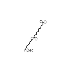 [CH2]CCCCCCCCCCCCCCCOC(=O)CCCCCCCCC([O])=O